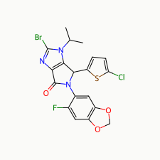 CC(C)n1c(Br)nc2c1C(c1ccc(Cl)s1)N(c1cc3c(cc1F)OCO3)C2=O